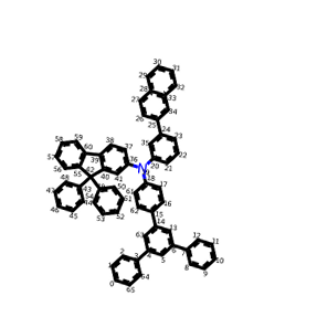 c1ccc(-c2cc(-c3ccccc3)cc(-c3ccc(N(c4cccc(-c5ccc6ccccc6c5)c4)c4ccc5c(c4)C(c4ccccc4)(c4ccccc4)c4ccccc4-5)cc3)c2)cc1